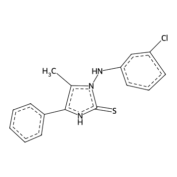 Cc1c(-c2ccccc2)[nH]c(=S)n1Nc1cccc(Cl)c1